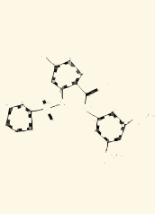 COc1cc(NC(=O)c2ccc(Br)cc2NS(=O)(=O)c2ccccc2)cc(OC)c1